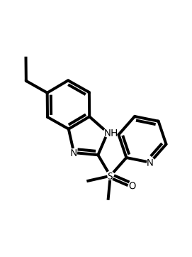 CCc1ccc2[nH]c(S(C)(C)(=O)c3ccccn3)nc2c1